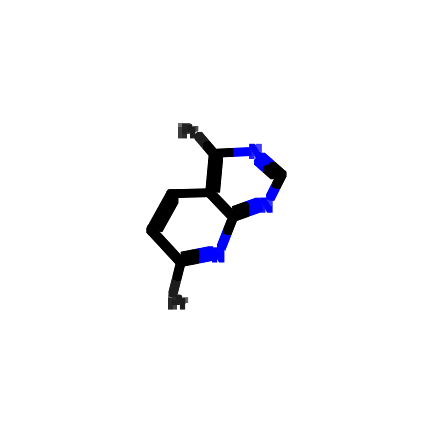 CC(C)c1ccc2c(C(C)C)ncnc2n1